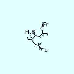 BC(CC(C)CC(C)C)C(C)C/C=C/C